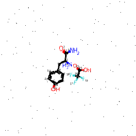 NC(=O)C(N)Cc1ccc(O)cc1.O=C(O)C(F)(F)F